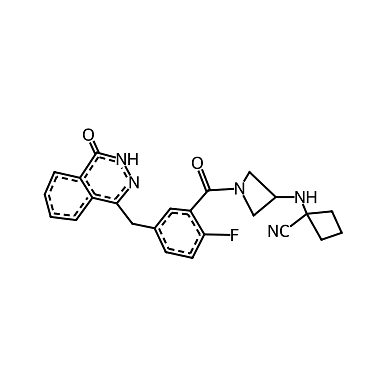 N#CC1(NC2CN(C(=O)c3cc(Cc4n[nH]c(=O)c5ccccc45)ccc3F)C2)CCC1